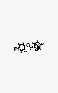 Fc1ccc(OCC2CN3CCC2CC3)cc1